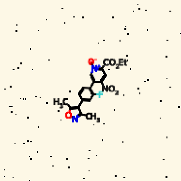 CCOC(=O)c1cc([N+](=O)[O-])c(-c2ccc(-c3c(C)noc3C)cc2F)c[n+]1[O-]